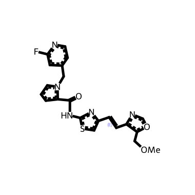 COCc1ocnc1/C=C/c1csc(NC(=O)c2cccn2Cc2ccnc(F)c2)n1